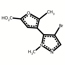 Cc1oc(C(=O)O)cc1-c1c(Br)cnn1C